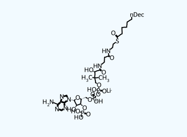 CCCCCCCCCCCCCCCC(=O)SCCNC(=O)CCNC(=O)[C@H](O)C(C)(C)COP(=O)(O)OP(=O)(O)OC[C@H]1O[C@@H](n2cnc3c(N)ncnc32)[C@H](O)[C@@H]1OP(=O)(O)O.[Li]